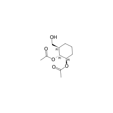 CC(=O)O[C@@H]1[C@@H](CO)CCC[C@H]1OC(C)=O